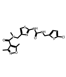 Cc1noc(C)c1C(=O)N(C)Cc1csc(NC(=O)NCc2ccc(Cl)s2)n1